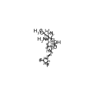 COc1ccc2ncc(Cl)c([C@@H](N)CC[C@@H]3CCN(CC#Cc4cc(F)cc(F)c4)C[C@H]3CC(=O)O)c2c1